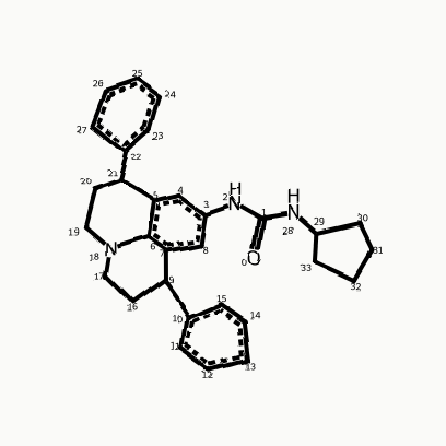 O=C(Nc1cc2c3c(c1)C(c1ccccc1)CCN3CCC2c1ccccc1)NC1CCCC1